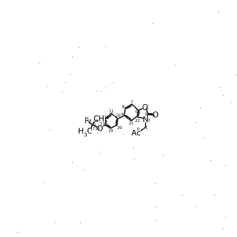 CC(=O)Cn1c(=O)oc2ccc(-c3ccc(OC(C)(C)F)cc3)cc21